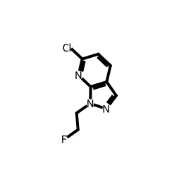 FCCn1ncc2ccc(Cl)nc21